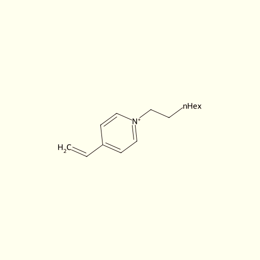 C=Cc1cc[n+](CCCCCCCC)cc1